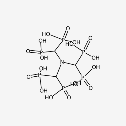 O=P(O)(O)C(N(C(P(=O)(O)O)P(=O)(O)O)C(P(=O)(O)O)P(=O)(O)O)P(=O)(O)O